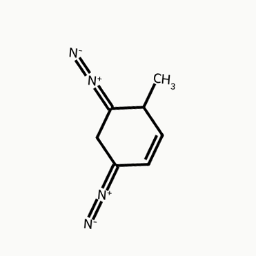 CC1C=CC(=[N+]=[N-])CC1=[N+]=[N-]